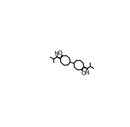 CC(C)c1noc2c1CCCC(C1CCCc3c(C(C)C)noc3CC1)CC2